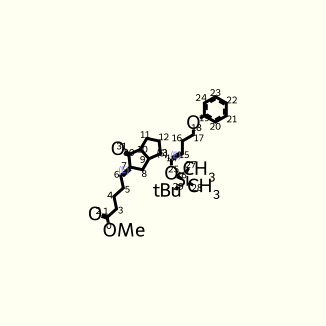 COC(=O)CCC/C=C1\CC2C(CC[C@@H]2/C(=C\CCOc2ccccc2)O[Si](C)(C)C(C)(C)C)C1=O